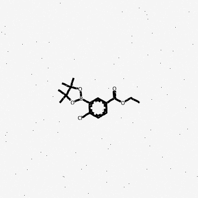 CCOC(=O)c1ccc(Cl)c(B2OC(C)(C)C(C)(C)O2)c1